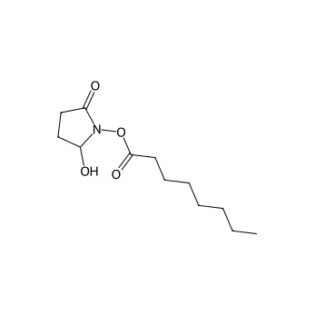 CCCCCCCC(=O)ON1C(=O)CCC1O